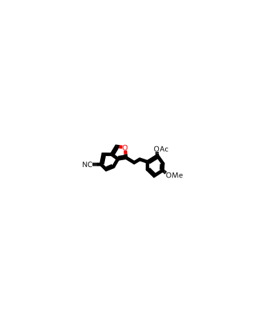 COc1ccc(CCc2occ3cc(C#N)ccc23)c(OC(C)=O)c1